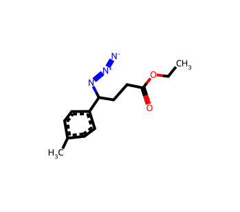 CCOC(=O)CCC(N=[N+]=[N-])c1ccc(C)cc1